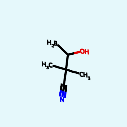 BC(O)C(C)(C)C#N